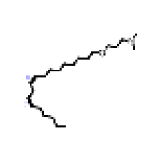 CCCCC/C=C\C/C=C\CCCCCCCCOCCCN(C)C